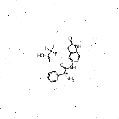 N[C@@H](C(=O)Nc1ccc2c(c1)CC(=O)N2)c1ccccc1.O=C(O)C(F)(F)F